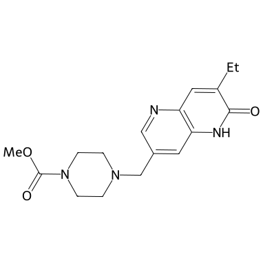 CCc1cc2ncc(CN3CCN(C(=O)OC)CC3)cc2[nH]c1=O